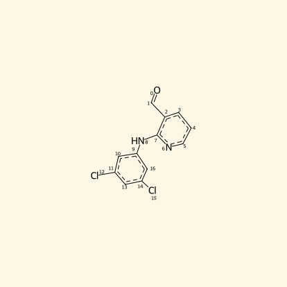 O=Cc1cccnc1Nc1cc(Cl)cc(Cl)c1